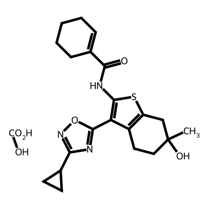 CC1(O)CCc2c(sc(NC(=O)C3=CCCCC3)c2-c2nc(C3CC3)no2)C1.O=C(O)O